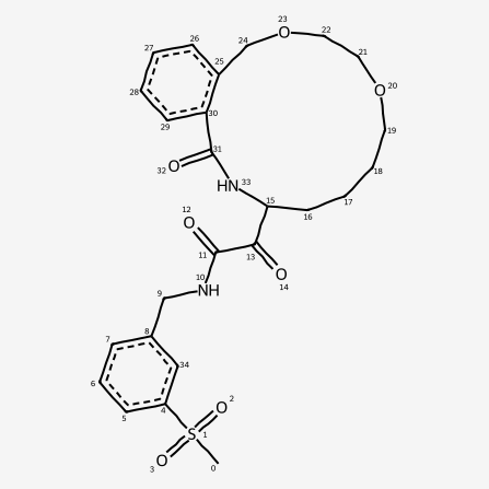 CS(=O)(=O)c1cccc(CNC(=O)C(=O)C2CCCCOCCOCc3ccccc3C(=O)N2)c1